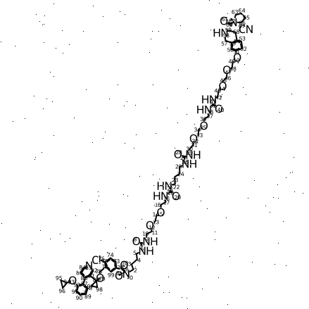 CN(CCCCNC(=O)NCCOCCOCCNC(=O)NCCCCNC(=O)NCCOCCOCCNC(=O)NCCOCCOCCOc1ccc2c(c1)CN[C@H](C(=O)N1CCC[C@H]1C#N)C2)S(=O)(=O)c1ccc(Cl)c(COC2(c3cnccc3-c3ccccc3OC3CC3)CC2)c1